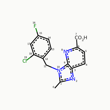 Cc1nc2ccc(C(=O)O)nc2n1Cc1ccc(F)cc1Cl